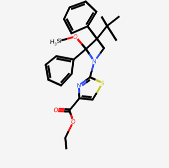 CCOC(=O)c1csc(N2CC(c3ccccc3)(C(C)(C)C)C2(O[SiH3])c2ccccc2)n1